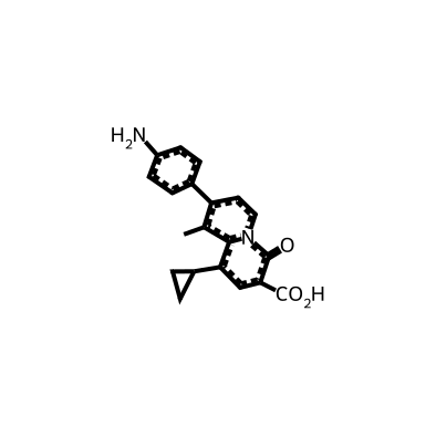 Cc1c(-c2ccc(N)cc2)ccn2c(=O)c(C(=O)O)cc(C3CC3)c12